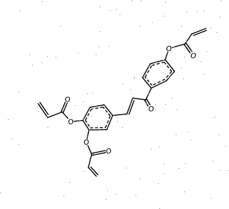 C=CC(=O)Oc1ccc(C(=O)/C=C/c2ccc(OC(=O)C=C)c(OC(=O)C=C)c2)cc1